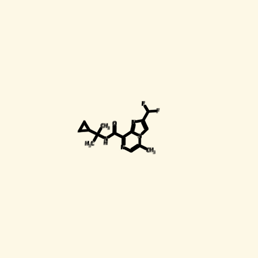 Cc1cnc(C(=O)NC(C)(C)C2CC2)c2nc(C(F)F)cn12